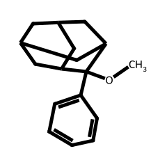 COC1(c2ccccc2)C2CC3CC(C2)CC1C3